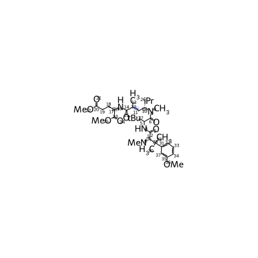 CN[C@H](C(=O)NC(C(=O)N(C)[C@H](/C=C(\C)C(=O)N[C@H](CCC(=O)OC)C(=O)OC)C(C)C)C(C)(C)C)C(C)(C)c1cccc(OC)c1